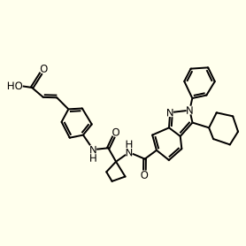 O=C(O)C=Cc1ccc(NC(=O)C2(NC(=O)c3ccc4c(C5CCCCC5)n(-c5ccccc5)nc4c3)CCC2)cc1